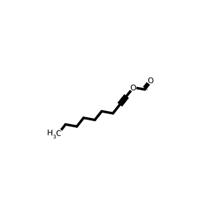 CCCCCCCC#CO[C]=O